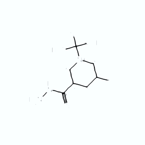 CC(C)(C)N1CC(F)CC(C(=O)NN)C1